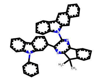 CC1(C)c2ccccc2-c2nc(-n3c4ccccc4c4cc5ccccc5cc43)c(-c3ccc4c5ccccc5n(-c5ccccc5)c4c3)nc21